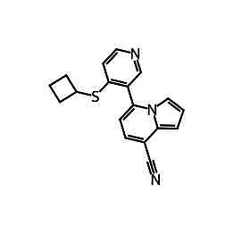 N#Cc1ccc(-c2cnccc2SC2CCC2)n2cccc12